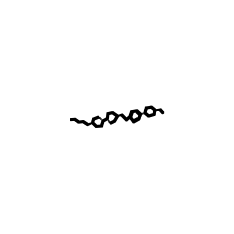 CCCCC[C@H]1CC[C@H]([C@H]2CC[C@H](CCc3ccc([C@H]4CC[C@H](CC)CC4)cc3)CC2)CC1